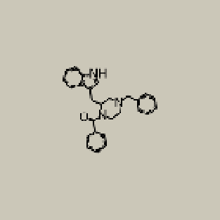 O=C(c1ccccc1)N1CCN(Cc2ccccc2)CC1Cc1c[nH]c2ccccc12